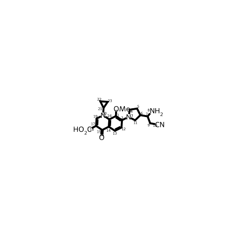 COc1c(N2CCC(C(N)CC#N)C2)ccc2c(=O)c(C(=O)O)cn(C3CC3)c12